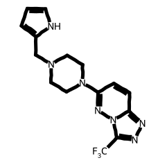 FC(F)(F)c1nnc2ccc(N3CCN(Cc4ccc[nH]4)CC3)nn12